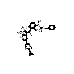 Cc1ccc(NC(=O)OCc2ccccc2)c(F)c1C(=O)c1c[nH]c2ncc(-c3cnc(C4CC4)nc3)cc12